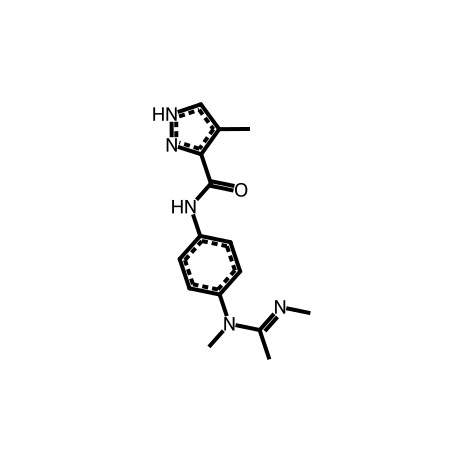 CN=C(C)N(C)c1ccc(NC(=O)c2n[nH]cc2C)cc1